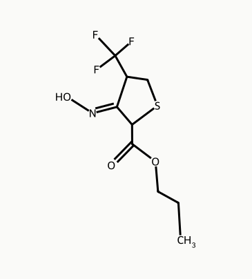 CCCOC(=O)C1SCC(C(F)(F)F)/C1=N\O